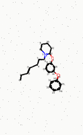 CCCCCCCN1CCCCC1Oc1cccc(Oc2ccccc2)c1